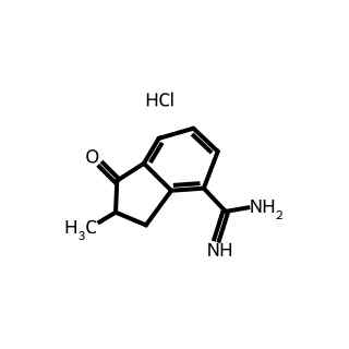 CC1Cc2c(C(=N)N)cccc2C1=O.Cl